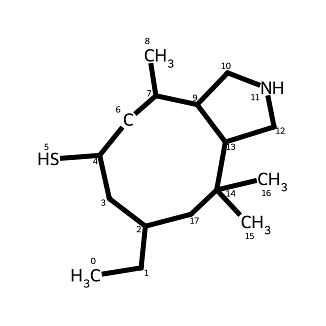 CCC1CC(S)CC(C)C2CNCC2C(C)(C)C1